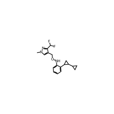 Cn1cc(CONc2ccccc2C2CC2C2CC2)c(C(F)F)n1